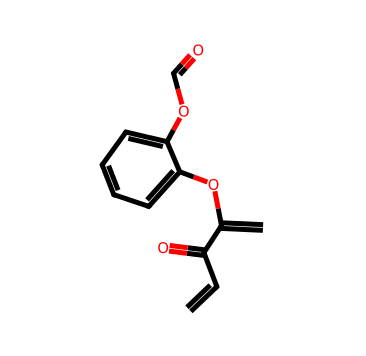 C=CC(=O)C(=C)Oc1ccccc1OC=O